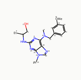 CCC(CO)Nc1nc(N(C)Cc2cccc(OC)c2)c2ncn(C(C)C)c2n1